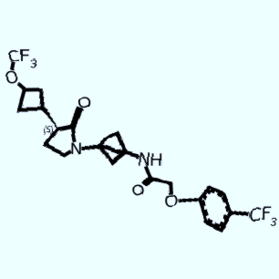 O=C(COc1ccc(C(F)(F)F)cc1)NC12CC(N3CC[C@@H](C4CC(OC(F)(F)F)C4)C3=O)(C1)C2